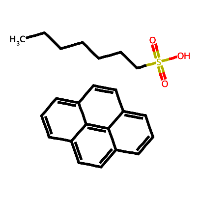 CCCCCCCS(=O)(=O)O.c1cc2ccc3cccc4ccc(c1)c2c34